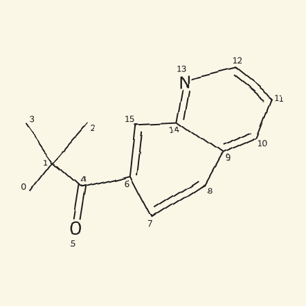 CC(C)(C)C(=O)c1ccc2cccnc2c1